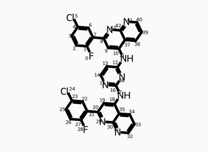 Fc1ccc(Cl)cc1-c1cc(Nc2ccnc(Nc3cc(-c4cc(Cl)ccc4F)nc4ncccc34)n2)c2cccnc2n1